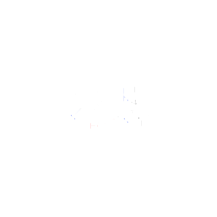 O=C1N[C@H]2CCCC[C@@H]2NC1c1ccc2cccnc2c1O